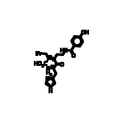 CC(C)C[C@@H](C(=O)O)N(CCNC(=O)c1ccc(O)cc1)C(=O)[C@@H](N)Cc1c[nH]cn1